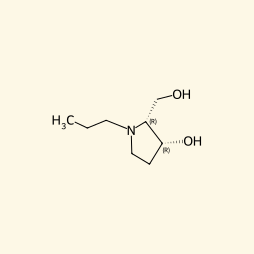 CCCN1CC[C@@H](O)[C@H]1CO